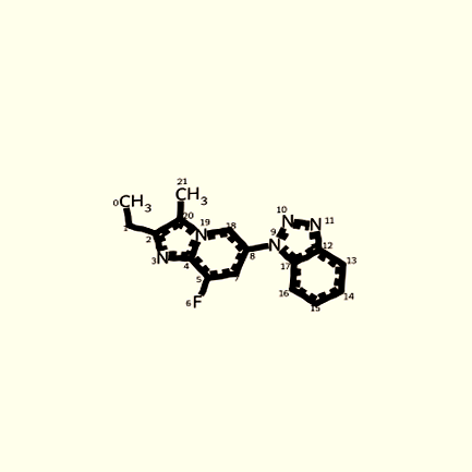 CCc1nc2c(F)cc(-n3nnc4ccccc43)cn2c1C